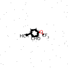 C#Cc1ccc(OC(F)(F)F)c(C=O)c1